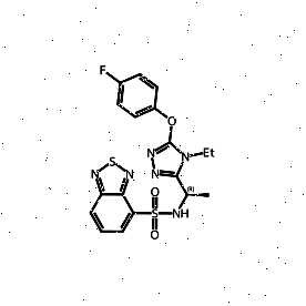 CCn1c(Oc2ccc(F)cc2)nnc1[C@@H](C)NS(=O)(=O)c1cccc2nsnc12